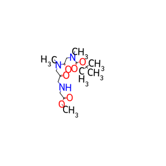 COC(=O)CNCC(=O)CN(C)C(=O)CN(C)C(=O)OC(C)(C)C